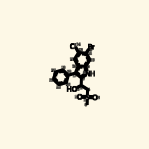 CS(=O)(=O)CC(O)c1[nH]c2cc(Br)c(Cl)cc2c1-c1ccccc1